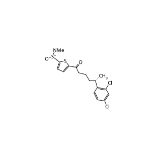 CN[S+]([O-])c1ccc(C(=O)CCC[C@H](C)c2ccc(Cl)cc2Cl)s1